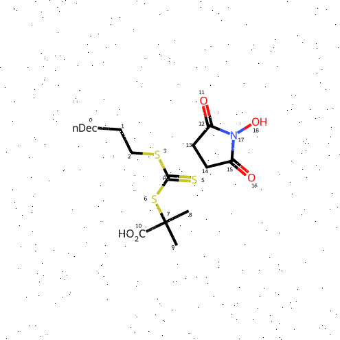 CCCCCCCCCCCCSC(=S)SC(C)(C)C(=O)O.O=C1CCC(=O)N1O